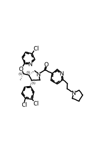 C[C@H](Oc1ccc(Cl)cn1)[C@@H]1CN(C(=O)c2ccc(CCN3CCCC3)nc2)C[C@@H]1c1ccc(Cl)c(Cl)c1